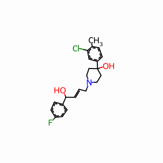 Cc1ccc(C2(O)CCN(CC=CC(O)c3ccc(F)cc3)CC2)cc1Cl